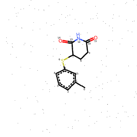 Cc1cccc(SC2CCC(=O)NC2=O)c1